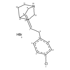 Br.Clc1ccc(C/C=C2\CN3CCC2CC3)cc1